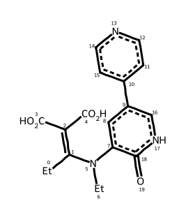 CCC(=C(C(=O)O)C(=O)O)N(CC)c1cc(-c2ccncc2)c[nH]c1=O